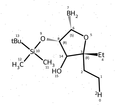 [2H]CC[C@@]1(CC)O[C@@H](B)[C@@H](O[Si](C)(C)C(C)(C)C)C1O